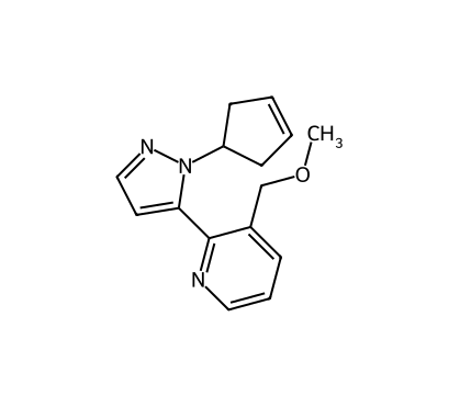 COCc1cccnc1-c1ccnn1C1CC=CC1